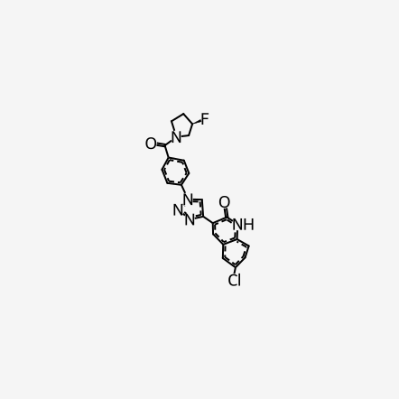 O=C(c1ccc(-n2cc(-c3cc4cc(Cl)ccc4[nH]c3=O)nn2)cc1)N1CC[C@@H](F)C1